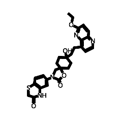 CCOc1ccc2nccc(CCC3(O)CCC4(CC3)CN(c3ccc5c(c3)NC(=O)CS5)C(=O)O4)c2n1